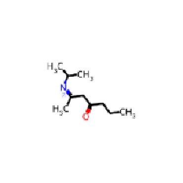 CCCC(=O)C/C(C)=N\C(C)C